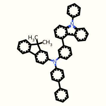 CC1(C)c2ccccc2-c2ccc(N(c3ccc(-c4ccccc4)cc3)c3cccc(-c4cccc5c4c4ccccc4n5-c4ccccc4)c3)cc21